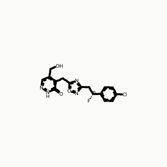 O=c1[nH]ncc(CO)c1Cc1nc(C[C@@H](F)c2ccc(Cl)cc2)no1